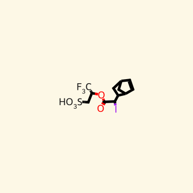 O=C(OC(CS(=O)(=O)O)C(F)(F)F)C(I)C1CC2C=CC1C2